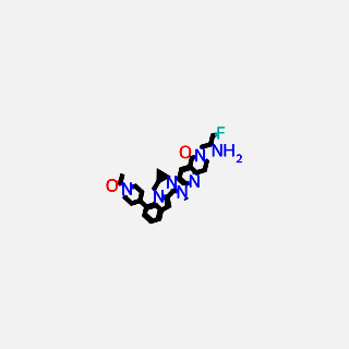 CC(=O)N1CCC(c2cccc3cc(-c4nc5cc6c(nc5n4C)CCN(CC(N)CF)C6=O)n(CC4CC4)c23)CC1